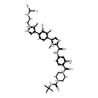 Cc1c(-c2cnc(C(=O)Nc3ccc(C(=O)N4CCN(C(=O)OC(C)(C)C)CC4)c(Cl)c3)n2C)ccc(-c2cnn(CCOC(F)F)c2C)c1F